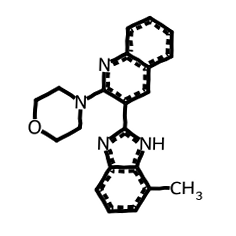 Cc1cccc2nc(-c3cc4ccccc4nc3N3CCOCC3)[nH]c12